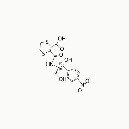 O=C(O)C1=C(C(=O)N[C@H](CO)[C@H](O)c2ccc([N+](=O)[O-])cc2)SCCS1